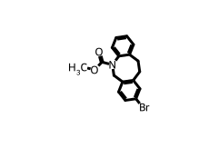 COC(=O)N1Cc2ccc(Br)cc2CCc2ccccc21